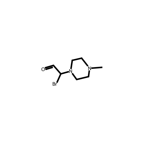 CN1CCN(C(Br)C=O)CC1